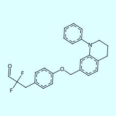 O=CC(F)(F)Cc1ccc(OCc2ccc3c(c2)N(c2ccccc2)CCC3)cc1